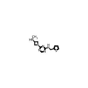 CNC1CN(c2ncnc(NCc3cccs3)n2)C1